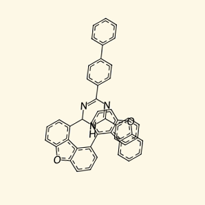 c1ccc(C2=NC(c3ccc(-c4ccccc4)cc3)=NC(c3cccc4oc5cccc(-c6cccc7oc8ccccc8c67)c5c34)N2)cc1